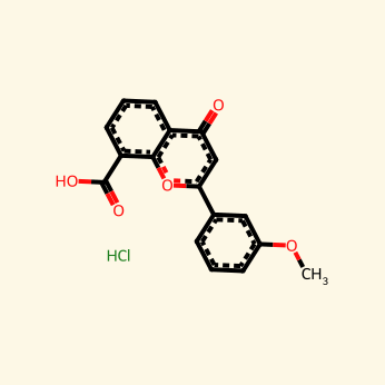 COc1cccc(-c2cc(=O)c3cccc(C(=O)O)c3o2)c1.Cl